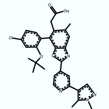 Cc1cc2nc(-c3ccnc(-c4cnn(C)c4C)c3)sc2c(-c2ccc(Cl)cc2OC(C)(C)C)c1CC(=O)O